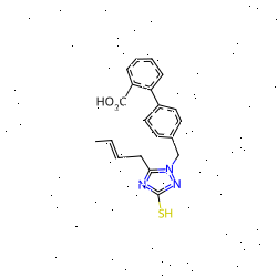 CC=CCc1nc(S)nn1Cc1ccc(-c2ccccc2C(=O)O)cc1